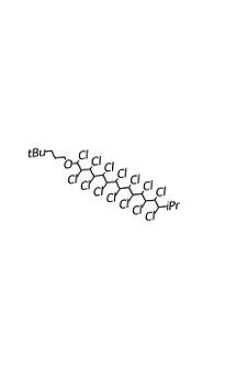 CC(C)C(Cl)C(Cl)C(Cl)C(Cl)C(Cl)C(Cl)C(Cl)C(Cl)C(Cl)C(Cl)C(Cl)C(Cl)C(Cl)C(Cl)OCCCC(C)(C)C